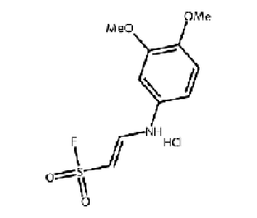 COc1ccc(N/C=C/S(=O)(=O)F)cc1OC.Cl